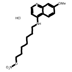 COc1ccc2c(NCCCCCCCO[N+](=O)[O-])ccnc2c1.Cl